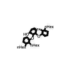 CCCCCCc1cccc(Oc2cccc(O)c2Oc2cccc(CCCCCC)c2CCCCCC)c1CCCCCC